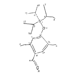 Cc1cc(O[Si](C(C)C)(C(C)C)C(C)C)c(C)cc1C=O